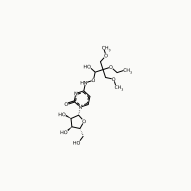 CCOC(COC)(COC)C(O)ONc1ccn([C@@H]2O[C@H](CO)[C@@H](O)[C@H]2O)c(=O)n1